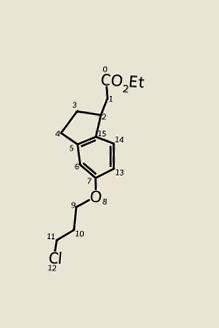 CCOC(=O)CC1CCc2cc(OCCCCl)ccc21